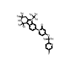 [2H]C1([2H])Cc2c(c3ccc(-n4ccc(OC([2H])([2H])c5ccc(F)cn5)cc4=O)cc3n2C([2H])([2H])[2H])C([2H])([2H])N1